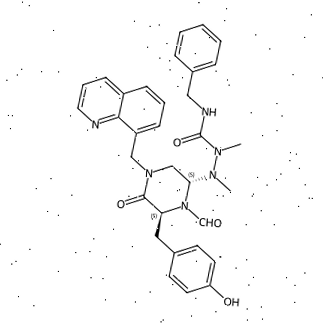 CN(C(=O)NCc1ccccc1)N(C)[C@H]1CN(Cc2cccc3cccnc23)C(=O)[C@H](Cc2ccc(O)cc2)N1C=O